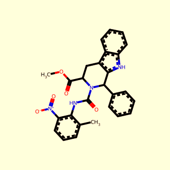 COC(=O)C1Cc2c([nH]c3ccccc23)C(c2ccccc2)N1C(=O)Nc1c(C)cccc1[N+](=O)[O-]